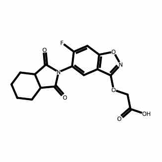 O=C(O)COc1noc2cc(F)c(N3C(=O)C4CCCCC4C3=O)cc12